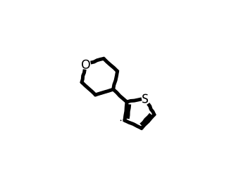 [c]1ccsc1C1CCOCC1